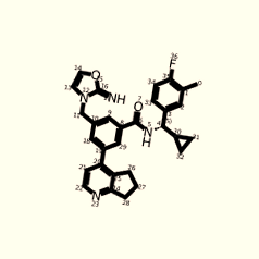 Cc1cc([C@@H](NC(=O)c2cc(Cn3ccoc3=N)cc(-c3ccnc4c3CCC4)c2)C2CC2)ccc1F